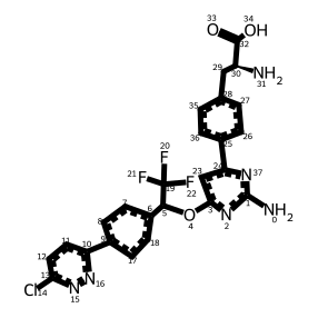 Nc1nc(OC(c2ccc(-c3ccc(Cl)nn3)cc2)C(F)(F)F)cc(-c2ccc(C[C@H](N)C(=O)O)cc2)n1